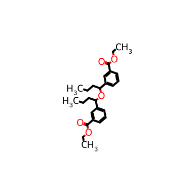 CCCC(OC(CCC)c1cccc(C(=O)OCC)c1)c1cccc(C(=O)OCC)c1